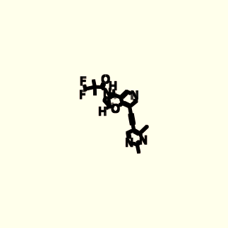 Cc1ncc(C#Cc2cncc3c2O[C@H]2C[C@@H]3N(C(=O)C(C)(C)C(F)F)C2)c(C)n1